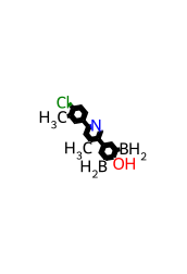 Bc1cc(-c2cnc(-c3ccc(Cl)c(C)c3)cc2C)cc(B)c1O